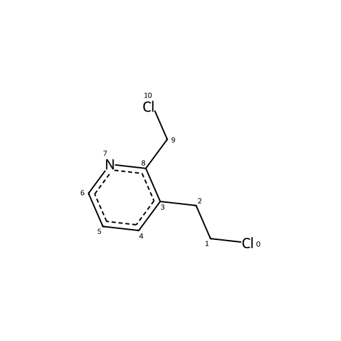 ClCCc1cccnc1CCl